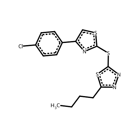 CCCCc1nnc(Sc2nc(-c3ccc(Cl)cc3)cs2)s1